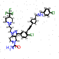 NC(=O)N1CCc2c(c(-c3ccc(Cl)c(C#Cc4ccc(CNCc5ccc(Cl)cc5)cc4)c3)nn2CCCN2CCC(C(F)(F)F)CC2)C1